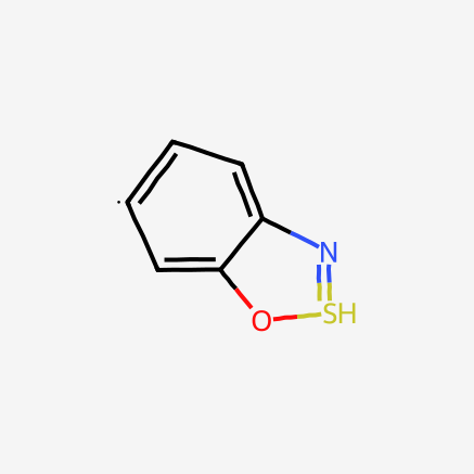 [c]1ccc2c(c1)O[SH]=N2